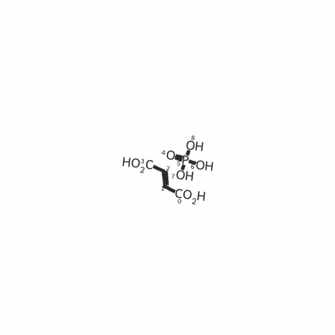 O=C(O)C=CC(=O)O.O=P(O)(O)O